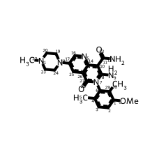 COc1ccc(C)c(-n2c(N)c(C(N)=O)c3ncc(N4CCN(C)CC4)cc3c2=O)c1C